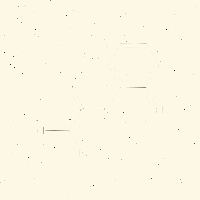 O=C(Oc1ccccc1Cl)C(Cl)Br